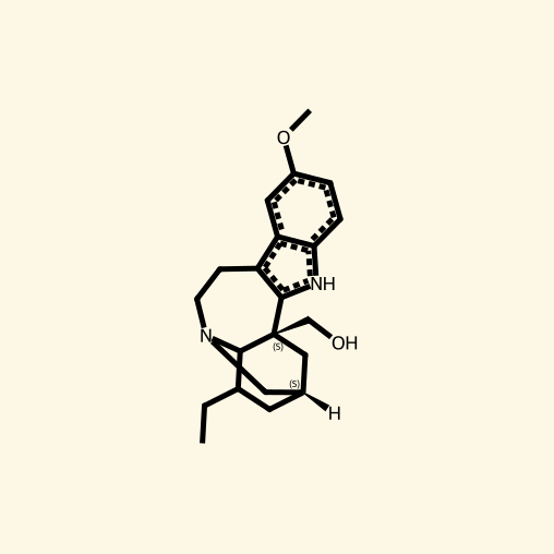 CCC1C[C@@H]2CN3CCc4c([nH]c5ccc(OC)cc45)[C@](CO)(C2)C13